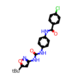 CC(C)(C)c1cc(NC(=O)Nc2ccc(NC(=O)c3ccc(Cl)cc3)cc2)no1